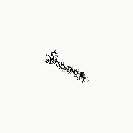 CCc1ccccc1C1(Cn2nccn2)OCC(COc2ccc(N3CCN(c4ccc(-n5cnn(C(C)CC)c5=O)cc4)CC3)cc2)O1